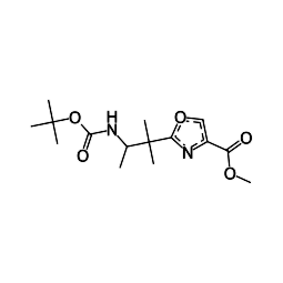 COC(=O)c1coc(C(C)(C)C(C)NC(=O)OC(C)(C)C)n1